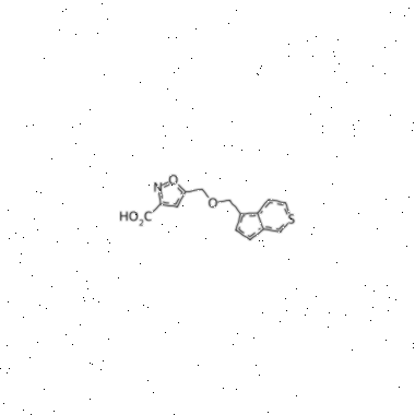 O=C(O)c1cc(COCc2ccc3csccc2-3)on1